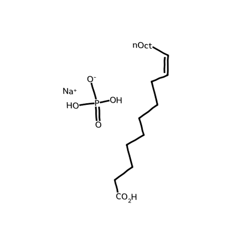 CCCCCCCC/C=C\CCCCCCCC(=O)O.O=P([O-])(O)O.[Na+]